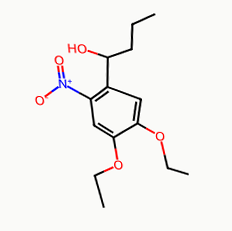 CCCC(O)c1cc(OCC)c(OCC)cc1[N+](=O)[O-]